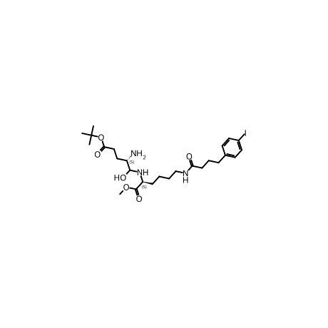 COC(=O)[C@H](CCCCNC(=O)CCCc1ccc(I)cc1)NC(O)[C@@H](N)CCC(=O)OC(C)(C)C